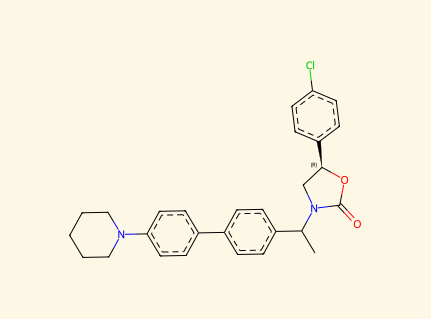 CC(c1ccc(-c2ccc(N3CCCCC3)cc2)cc1)N1C[C@@H](c2ccc(Cl)cc2)OC1=O